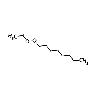 C[CH]OOCCCCCCCC